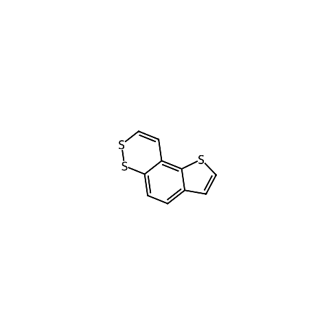 C1=Cc2c(ccc3ccsc23)SS1